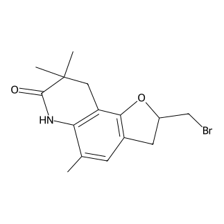 Cc1cc2c(c3c1NC(=O)C(C)(C)C3)OC(CBr)C2